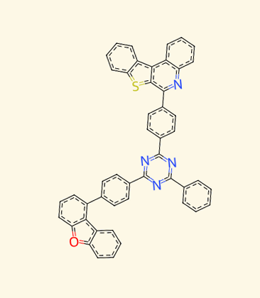 c1ccc(-c2nc(-c3ccc(-c4nc5ccccc5c5c4sc4ccccc45)cc3)nc(-c3ccc(-c4cccc5oc6ccccc6c45)cc3)n2)cc1